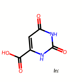 O=C(O)c1cc(=O)[nH]c(=O)[nH]1.[In]